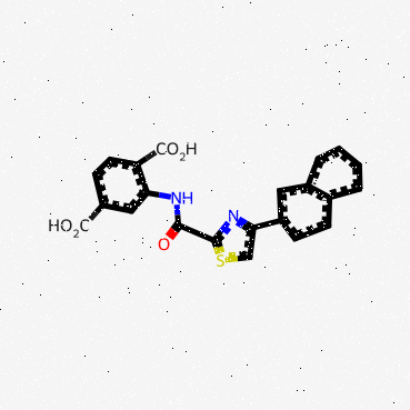 O=C(O)c1ccc(C(=O)O)c(NC(=O)c2nc(-c3ccc4ccccc4c3)cs2)c1